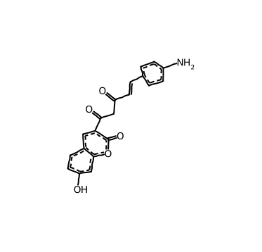 Nc1ccc(C=CC(=O)CC(=O)c2cc3ccc(O)cc3oc2=O)cc1